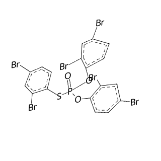 O=P(Oc1ccc(Br)cc1Br)(Oc1ccc(Br)cc1Br)Sc1ccc(Br)cc1Br